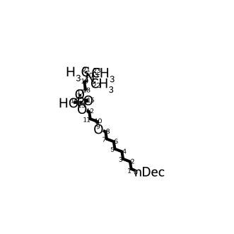 CCCCCCCCCCCCCCCCCCOCCCOP(=O)(O)OCC[N+](C)(C)C